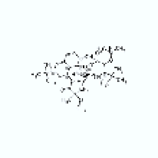 COC(C)(C)C(=O)O[C@H]1C[C@H](C(C)(C)C)C=C2C=C[C@H](C)[C@](CC[C@@H]3C[C@H](C(C)(C)C)C(O[SiH](C)C)C(=O)O3)(O[SiH](C)C)[C@H]21